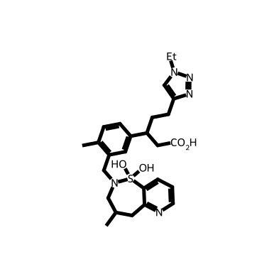 CCn1cc(CCC(CC(=O)O)c2ccc(C)c(CN3CC(C)Cc4ncccc4S3(O)O)c2)nn1